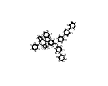 c1ccc(-c2ccc(-c3ccc(N(c4ccc(-c5ccccc5)cc4)c4ccc5c(c4)-c4ccccc4C54c5ccccc5N(c5ccccc5)c5ccccc54)cc3)cc2)cc1